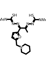 CN/C(S)=N/N=C(/C(C)=N/N=C(\S)NC)c1ccc(CN2CCCCC2)o1